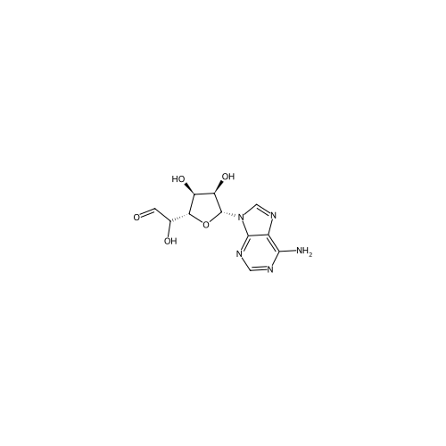 Nc1ncnc2c1ncn2[C@@H]1O[C@H](C(O)C=O)[C@@H](O)[C@H]1O